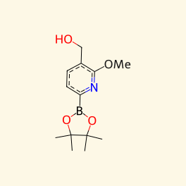 COc1nc(B2OC(C)(C)C(C)(C)O2)ccc1CO